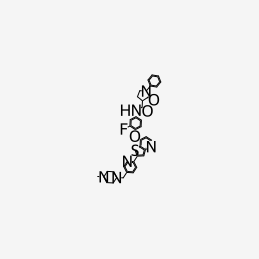 CN1CCN(Cc2ccc(-c3cc4nccc(Oc5ccc(NC(=O)C6CCN(c7ccccc7)C6=O)cc5F)c4s3)nc2)CC1